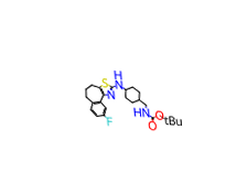 CC(C)(C)OC(=O)NCC1CCC(Nc2nc3c(s2)CCCc2ccc(F)cc2-3)CC1